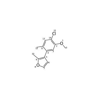 COc1cc(-c2ccoc2C)c(C)cc1Cl